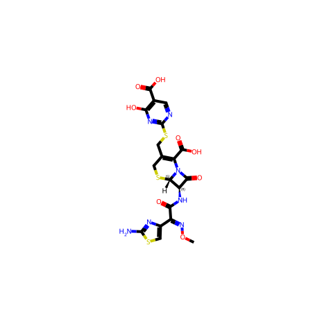 CON=C(C(=O)N[C@@H]1C(=O)N2C(C(=O)O)=C(CSc3ncc(C(=O)O)c(O)n3)CS[C@@H]12)c1csc(N)n1